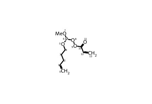 C=CCCCOP(OC)OOC(=O)C=C